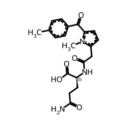 Cc1ccc(C(=O)c2ccc(CC(=O)N[C@@H](CCC(N)=O)C(=O)O)n2C)cc1